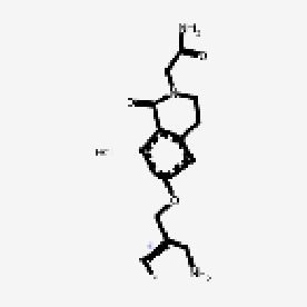 Cl.NC/C(=C\F)COc1ccc2c(c1)CCN(CC(N)=O)C2=O